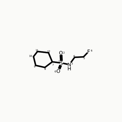 O=S(=O)(NCCF)C1CCCCC1